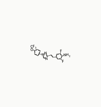 Nc1c(F)cc(/C=C/c2ncn(-c3ccc(OC(F)(F)F)cc3)n2)cc1F